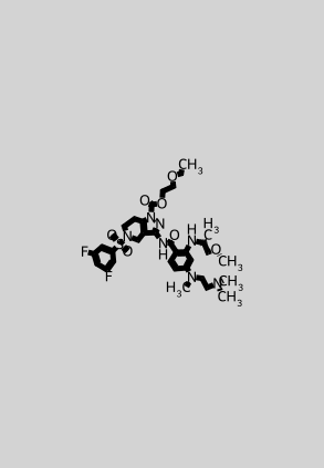 CCOCCOC(=O)n1nc(NC(=O)c2ccc(N(C)CCN(C)C)cc2N[C@H](C)COC)c2c1CCN(S(=O)(=O)c1cc(F)cc(F)c1)C2